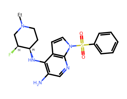 CCN1CC[C@@H](Nc2c(N)cnc3c2ccn3S(=O)(=O)c2ccccc2)[C@@H](F)C1